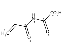 C=CC(=O)NC(=O)C(=O)O